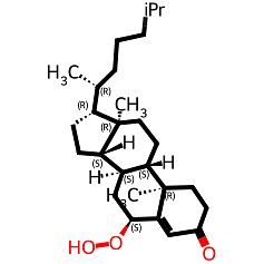 CC(C)CCC[C@@H](C)[C@H]1CC[C@H]2[C@@H]3C[C@H](OO)C4=CC(=O)CC[C@]4(C)[C@H]3CC[C@]12C